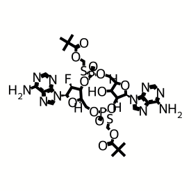 CC(C)(C)C(=O)OCSP1(=O)OC[C@H]2O[C@@H](n3cnc4c(N)ncnc43)[C@@H](OP(=O)(SCOC(=O)C(C)(C)C)OC[C@H]3O[C@@H](n4cnc5c(N)ncnc54)[C@@H](F)C3O1)C2O